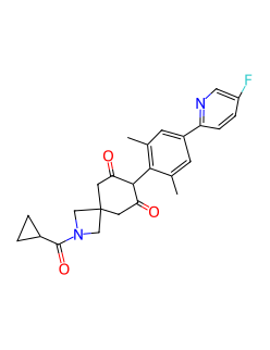 Cc1cc(-c2ccc(F)cn2)cc(C)c1C1C(=O)CC2(CC1=O)CN(C(=O)C1CC1)C2